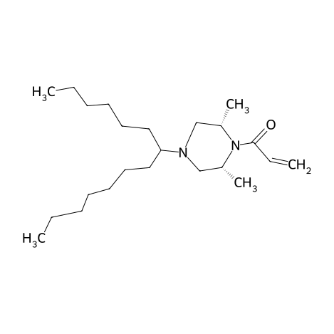 C=CC(=O)N1[C@H](C)CN(C(CCCCCC)CCCCCCC)C[C@@H]1C